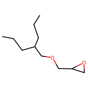 CCCC(CCC)COCC1CO1